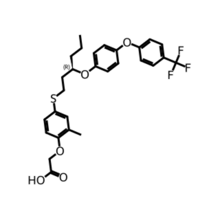 CCC[C@H](CCSc1ccc(OCC(=O)O)c(C)c1)Oc1ccc(Oc2ccc(C(F)(F)F)cc2)cc1